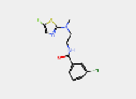 CN(CCNC(=O)c1cccc(Cl)c1)c1ncc(F)s1